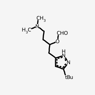 CN(C)CCC(Cc1cc(C(C)(C)C)n[nH]1)OC=O